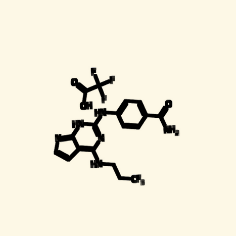 NC(=O)c1ccc(Nc2nc(NCCC(F)(F)F)c3ccnc-3[nH]2)cc1.O=C(O)C(F)(F)F